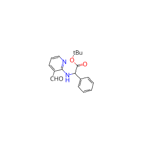 CC(C)(C)OC(=O)C(Nc1ncccc1C=O)c1ccccc1